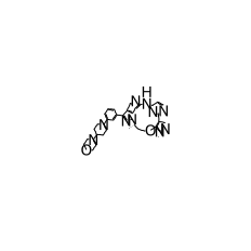 C[C@H]1CCOc2c(cnn2C)-c2nccc(n2)Nc2cc3c(cn2)c(-c2cccc(N4CCC(N5CCOCC5)CC4)c2)nn31